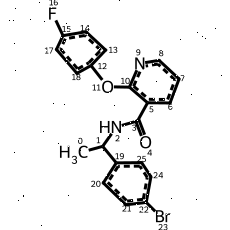 CC(NC(=O)c1cccnc1Oc1ccc(F)cc1)c1ccc(Br)cc1